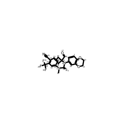 CN(C(=S)N(c1ccc2c(c1)OCCO2)C1(C=O)CCC1)c1ccc(C#N)c(C(F)(F)F)c1